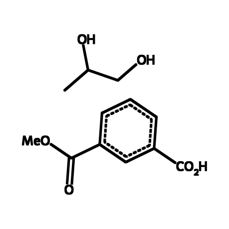 CC(O)CO.COC(=O)c1cccc(C(=O)O)c1